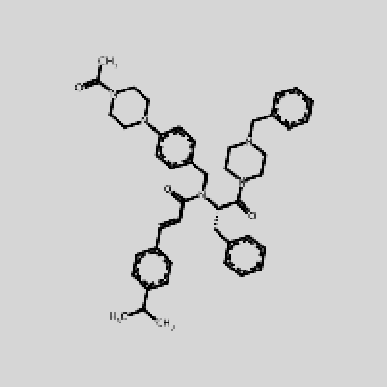 CC(=O)N1CCN(c2ccc(CN(C(=O)/C=C/c3ccc(C(C)C)cc3)[C@@H](Cc3ccccc3)C(=O)N3CCN(Cc4ccccc4)CC3)cc2)CC1